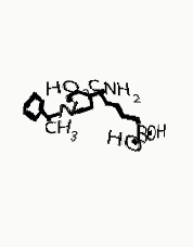 CC(c1ccccc1)N1CCC([C@@](N)(CCCCB(O)O)C(=O)O)CC1